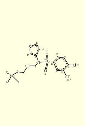 C[Si](C)(C)CCOCN(c1cscn1)S(=O)(=O)c1cc(C(F)(F)F)c(Cl)cn1